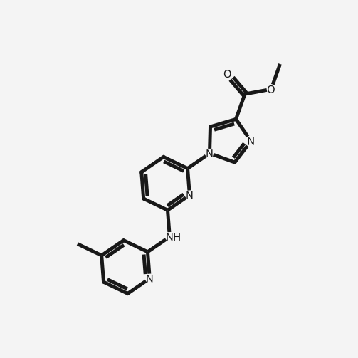 COC(=O)c1cn(-c2cccc(Nc3cc(C)ccn3)n2)cn1